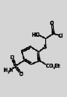 CCOC(=O)c1cc(S(N)(=O)=O)ccc1SC(O)C(=O)Cl